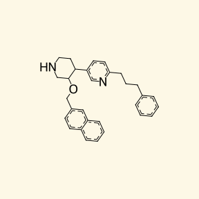 c1ccc(CCCc2ccc(C3CCNCC3OCc3ccc4ccccc4c3)cn2)cc1